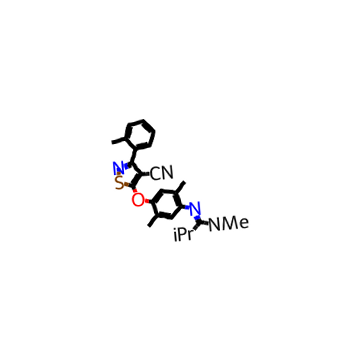 CNC(=Nc1cc(C)c(Oc2snc(-c3ccccc3C)c2C#N)cc1C)C(C)C